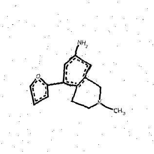 CN1CCc2c(cc(N)cc2-c2ccco2)C1